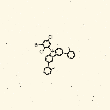 Cc1ccccc1-c1ccc2c(c1)c1cc(-c3ccccc3C)ccc1n2-c1cc(Cl)cc(Br)c1Cl